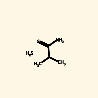 CC(C)C(N)=S.S